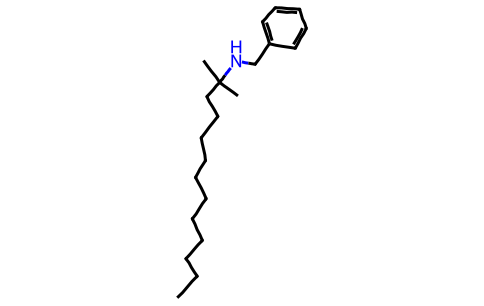 CCCCCCCCCCCC(C)(C)NCc1ccccc1